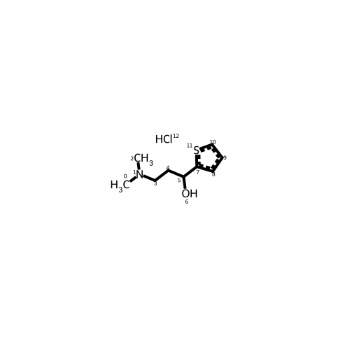 CN(C)CCC(O)c1cccs1.Cl